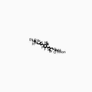 CCCCCCCCCNC(=O)OCCc1cc(-c2c(F)c(F)c(-c3cc(CCOC(=O)NCC)c(Br)s3)c3nsnc23)sc1Br